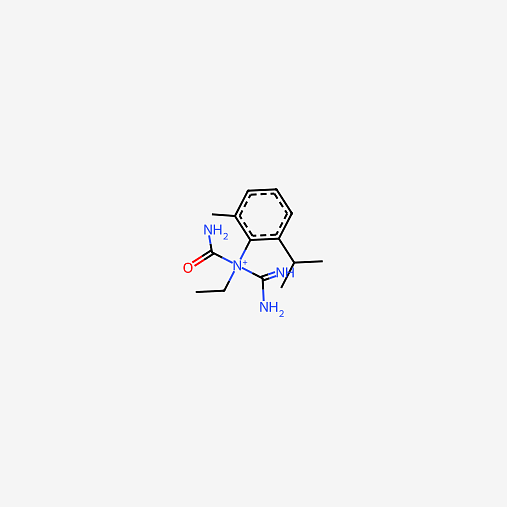 CC[N+](C(=N)N)(C(N)=O)c1c(C)cccc1C(C)C